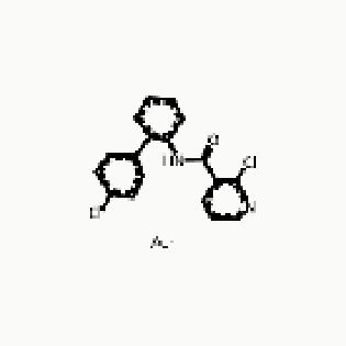 O=C(Nc1ccccc1-c1ccc(Cl)cc1)c1cccnc1Cl.[Au]